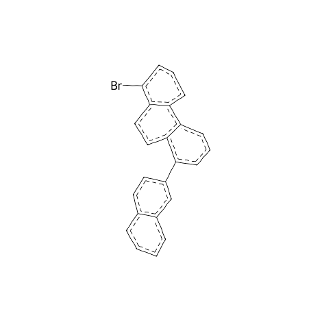 Brc1cccc2c1ccc1c(-c3ccc4ccccc4c3)cccc12